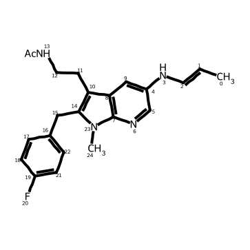 CC=CNc1cnc2c(c1)c(CCNC(C)=O)c(Cc1ccc(F)cc1)n2C